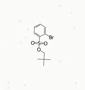 CC(C)(C)COS(=O)(=O)c1ccccc1Br